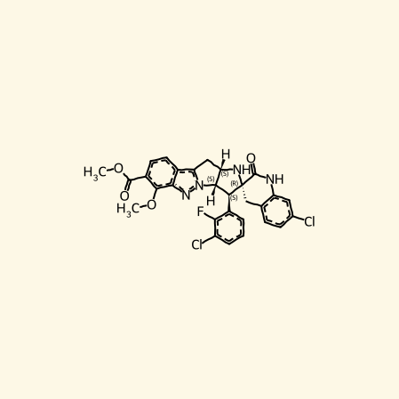 COC(=O)c1ccc2c3n(nc2c1OC)[C@@H]1[C@H](C3)N[C@]2(Cc3ccc(Cl)cc3NC2=O)[C@H]1c1cccc(Cl)c1F